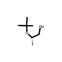 C[C@@H](CO)OC(C)(C)C